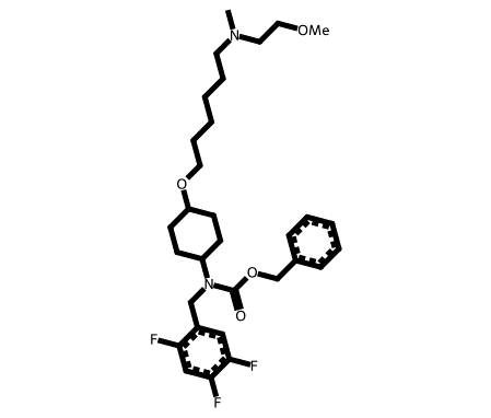 COCCN(C)CCCCCCOC1CCC(N(Cc2cc(F)c(F)cc2F)C(=O)OCc2ccccc2)CC1